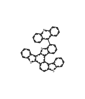 c1ccc2c(-c3cccc4c3sc3c5c6ccccc6sc5c5ccc6sc7ccccc7c6c5c43)c3ccccc3nc2c1